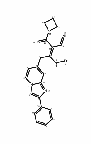 CCN/C(Cc1ccn2cc(-c3ccccc3)nc2c1)=C(\C=N)C(=O)N1CCC1